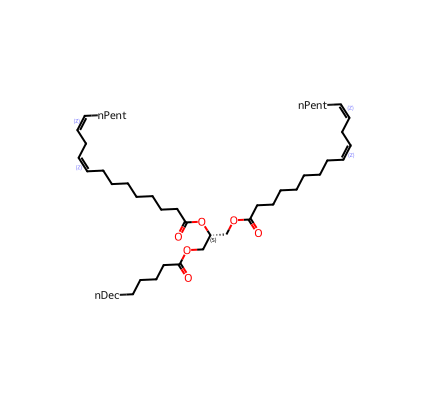 CCCCC/C=C\C/C=C\CCCCCCCC(=O)OC[C@H](COC(=O)CCCCCCCCCCCCCC)OC(=O)CCCCCCC/C=C\C/C=C\CCCCC